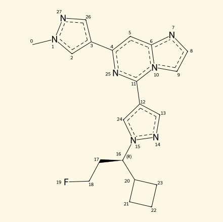 Cn1cc(-c2cc3nccn3c(-c3cnn([C@H](CCF)C4CCC4)c3)n2)cn1